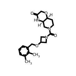 Cc1cccc(COC2CN(C(=O)N3CC[C@@H]4OCC(=O)N[C@@H]4C3)C2)c1C